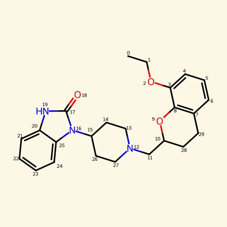 CCOc1cccc2c1OC(CN1CCC(n3c(=O)[nH]c4ccccc43)CC1)CC2